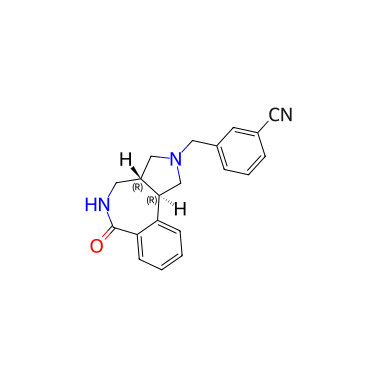 N#Cc1cccc(CN2C[C@H]3CNC(=O)c4ccccc4[C@@H]3C2)c1